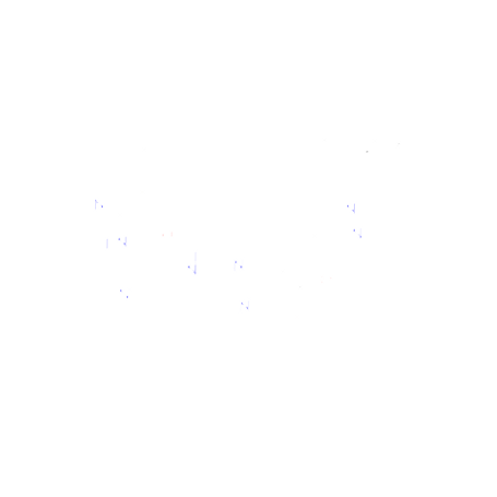 Cc1c(-c2ccn3c(Nc4cccnc4C(=O)Nc4nc5ccccc5s4)cnc3c2C(=O)O)cnn1CC12CC3CC(CC(C3)C1)C2